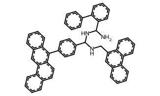 NC(NC(NCc1cc2ccccc2c2ccccc12)c1ccc(-c2c3ccccc3cc3c2ccc2ccccc23)cc1)c1ccccc1-c1ccccc1